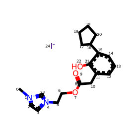 C[n+]1ccn(CCOC(=O)Cc2cccc(C3CCCC3)c2O)c1.[I-]